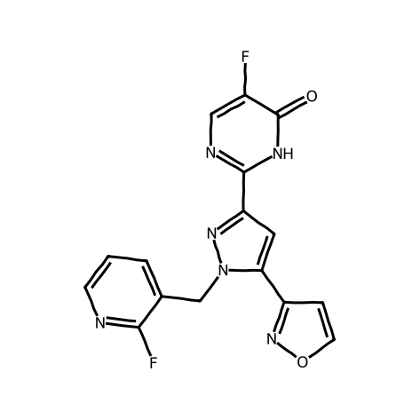 O=c1[nH]c(-c2cc(-c3ccon3)n(Cc3cccnc3F)n2)ncc1F